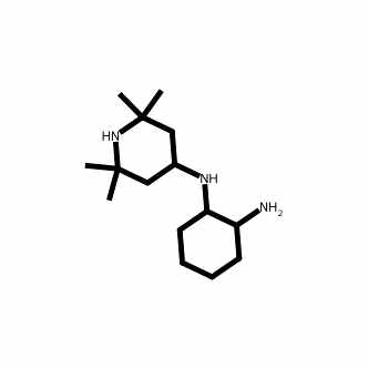 CC1(C)CC(NC2CCCCC2N)CC(C)(C)N1